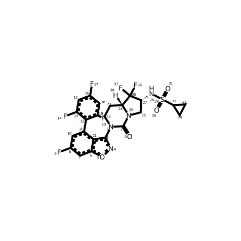 O=C1N(c2noc3cc(F)cc(-c4c(F)cc(F)cc4F)c23)CC[C@H]2N1C[C@@H](NS(=O)(=O)C1CC1)C2(F)F